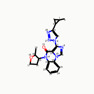 CC1CC1c1cn(-c2ncn3c2c(=O)n(C2CCOC2C)c2ccccc23)nn1